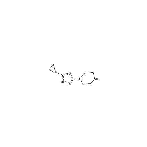 C1CN(c2nnc(C3CC3)o2)CCN1